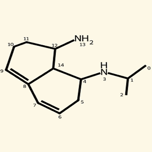 CC(C)NC1CC=CC2=CCCC(N)C21